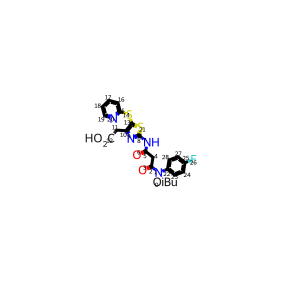 CC(C)CON(C(=O)CC(=O)Nc1nc(CC(=O)O)c(Sc2ccccn2)s1)c1ccc(F)cc1